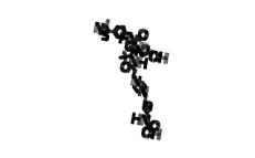 Cc1ncsc1-c1ccc(CNC(=O)[C@@H]2C[C@@H](O)CN2C(=O)C(NC(=O)CCN2CCN(CCOCCNC(=O)O)CC2)C(C)(C)C)cc1